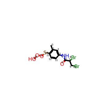 Cc1cc(NC(=O)C(Br)CBr)ccc1SOOO